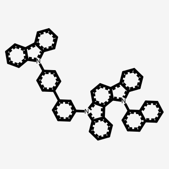 c1cc(-c2ccc(-n3c4ccccc4c4ccccc43)cc2)cc(-n2c3ccccc3c3c2ccc2c4ccccc4n(-c4cccc5ccccc45)c23)c1